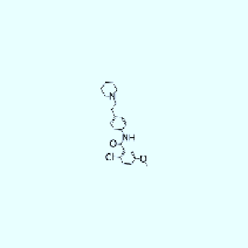 COc1ccc(Cl)c(C(=O)Nc2ccc(CCN3CCCCC3)cc2)c1